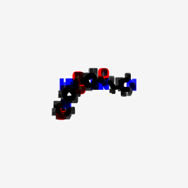 O=C(NCCc1ccncc1)c1ccc(S(=O)(=O)Nc2ccc(N3CCOCC3)cc2)cc1